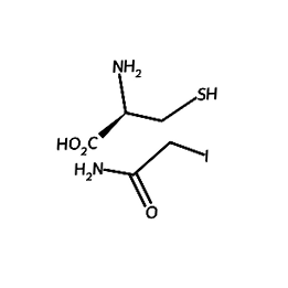 NC(=O)CI.N[C@@H](CS)C(=O)O